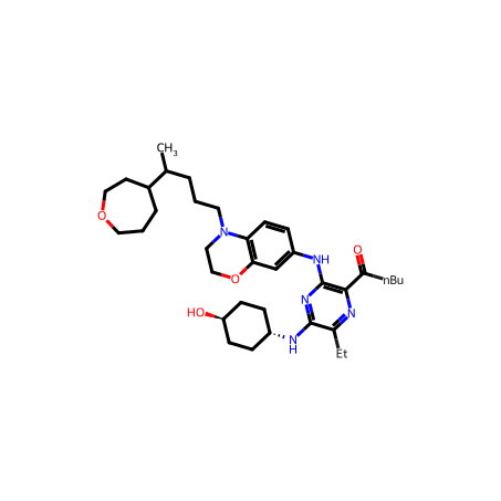 CCCCC(=O)c1nc(CC)c(N[C@H]2CC[C@H](O)CC2)nc1Nc1ccc2c(c1)OCCN2CCCC(C)C1CCCOCC1